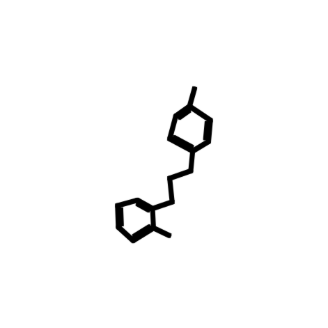 Cc1ccc(CCCc2ccccc2C)cc1